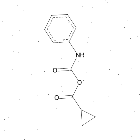 O=C(Nc1ccccc1)OC(=O)C1CC1